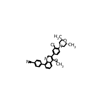 COc1c(-c2ccc(N3C[C@@H](C)O[C@@H](C)C3)c(Cl)c2)cnc2c(-c3ccc(C#N)cc3)cccc12